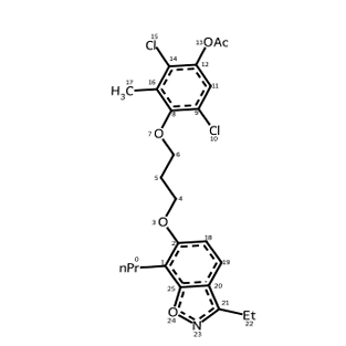 CCCc1c(OCCCOc2c(Cl)cc(OC(C)=O)c(Cl)c2C)ccc2c(CC)noc12